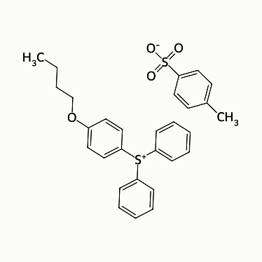 CCCCOc1ccc([S+](c2ccccc2)c2ccccc2)cc1.Cc1ccc(S(=O)(=O)[O-])cc1